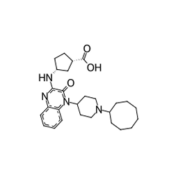 O=C(O)[C@H]1CC[C@@H](Nc2nc3ccccc3n(C3CCN(C4CCCCCCC4)CC3)c2=O)C1